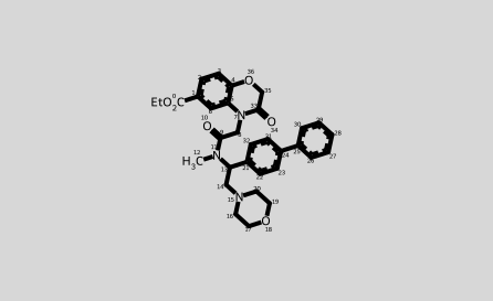 CCOC(=O)c1ccc2c(c1)N(CC(=O)N(C)C(CN1CCOCC1)c1ccc(-c3ccccc3)cc1)C(=O)CO2